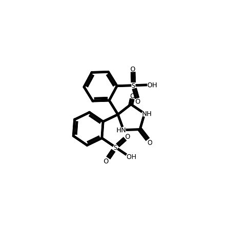 O=C1NC(=O)C(c2ccccc2S(=O)(=O)O)(c2ccccc2S(=O)(=O)O)N1